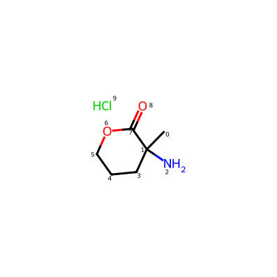 CC1(N)CCCOC1=O.Cl